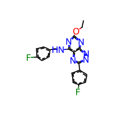 CCOc1nc(NCc2ccc(F)cc2)c2nc(-c3ccc(F)cc3)nnc2n1